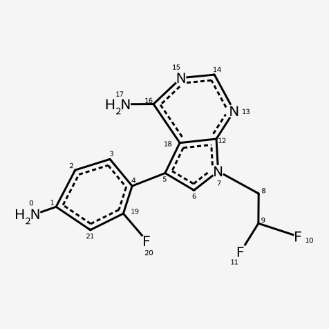 Nc1ccc(-c2cn(CC(F)F)c3ncnc(N)c23)c(F)c1